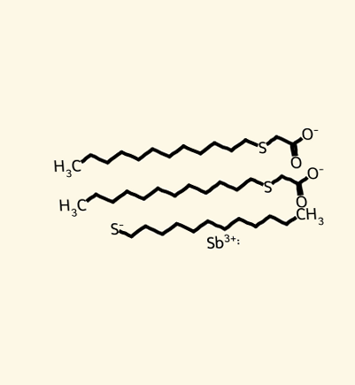 CCCCCCCCCCCCSCC(=O)[O-].CCCCCCCCCCCCSCC(=O)[O-].CCCCCCCCCCCC[S-].[Sb+3]